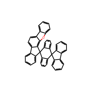 c1ccc2c(c1)-c1ccccc1C21c2ccccc2C2(c3ccccc3-c3ccc4c(oc5ccccc54)c32)c2ccccc21